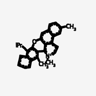 Cc1ccc2cc3c4c([n+](C)ccc4c2c1)-c1c(c(C(C)C)c2ccccc2c1C)O3